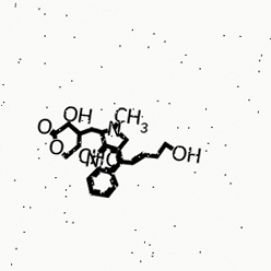 CN1Cc2c(nc3ccccc3c2/C=C/CCO)C1CC1C(C=O)COC(=O)[C@H]1O